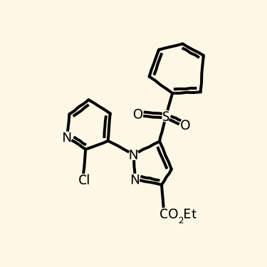 CCOC(=O)c1cc(S(=O)(=O)c2ccccc2)n(-c2cccnc2Cl)n1